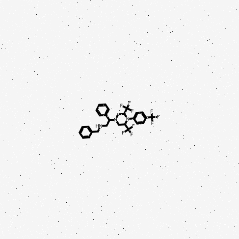 FC(F)(F)c1ccc(N2C(C(F)(F)F)CN(C(CNCc3ccccc3)c3ccccc3)CC2C(F)(F)F)cc1